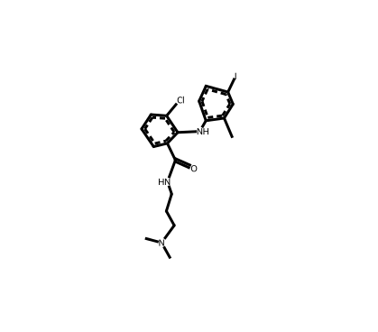 Cc1cc(I)ccc1Nc1c(Cl)cccc1C(=O)NCCCN(C)C